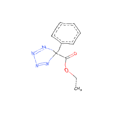 CCOC(=O)C1(c2ccccc2)N=NN=N1